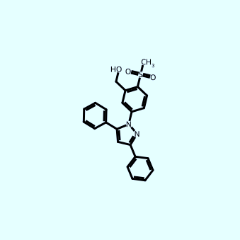 CS(=O)(=O)c1ccc(-n2nc(-c3ccccc3)cc2-c2ccccc2)cc1CO